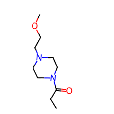 CCC(=O)N1CCN(CCOC)CC1